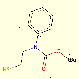 CC(C)(C)OC(=O)N(CCS)c1ccccc1